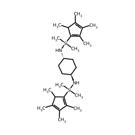 CC1=C(C)C(C)C([Si](C)(C)N[C@H]2CC[C@H](N[Si](C)(C)C3=C(C)C(C)=C(C)C3C)CC2)=C1C